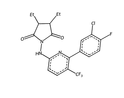 CCC1C(=O)N(Nc2ccc(C(F)(F)F)c(-c3ccc(F)c(Cl)c3)n2)C(=O)C1CC